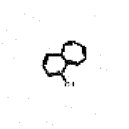 OC1=CC=CC2C=CC=CC=C12